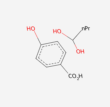 CCCC(O)O.O=C(O)c1ccc(O)cc1